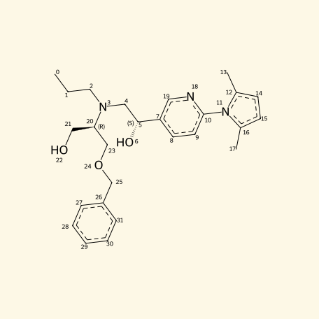 CCCN(C[C@@H](O)c1ccc(-n2c(C)ccc2C)nc1)[C@H](CO)COCc1ccccc1